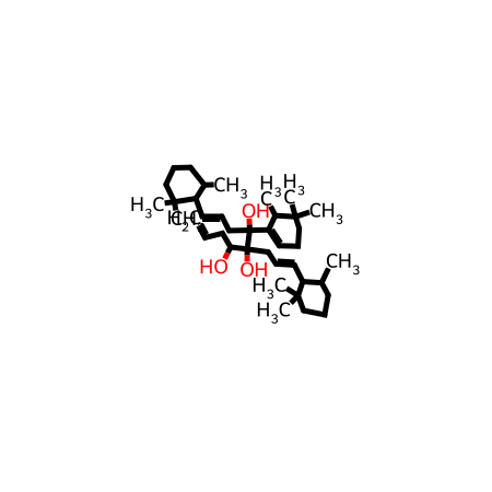 C=CCC(O)C(O)(CC=CC1C(C)CCCC1(C)C)C(O)(CC=CC1C(C)CCCC1(C)C)C1=CCCC(C)(C)C1C